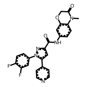 CN1C(=O)COc2cc(NC(=O)c3cc(-c4ccncc4)n(-c4ccc(F)c(F)c4)n3)ccc21